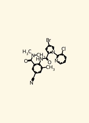 Cc1cc(C#N)cc(C(=O)N(C)C)c1NC(=O)c1cc(Br)cn1-c1ncccc1Cl